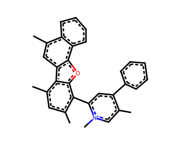 Cc1c[n+](C)c(-c2c(C)cc(C)c3c2oc2c4ccccc4c(C)cc23)cc1-c1ccccc1